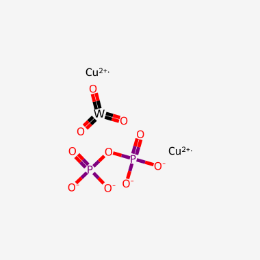 O=P([O-])([O-])OP(=O)([O-])[O-].[Cu+2].[Cu+2].[O]=[W](=[O])=[O]